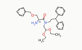 CCOC(CN(CCC(c1ccccc1)c1ccccc1)C(=O)[C@@H](N)COCc1ccccc1)OCC